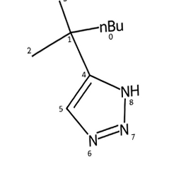 CCCCC(C)(C)c1cnn[nH]1